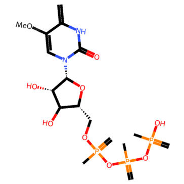 C=C1NC(=O)N([C@@H]2O[C@H](COP(=C)(C)OP(=C)(C)OP(=C)(C)O)C(O)[C@@H]2O)C=C1OC